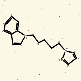 c1ccc2c(c1)ccn2CCCCCn1cccn1